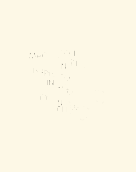 CCC(C)CC(OC)[C@@H](C(=O)O)N(C)C(=O)[C@@H](NC(=O)C(C(C)C)N(C)C(=O)OCC1c2ccccc2-c2ccccc21)C(C)C